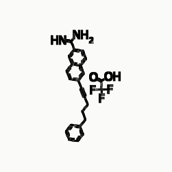 N=C(N)c1ccc2cc(C#CCCCc3ccccc3)ccc2c1.O=C(O)C(F)(F)F